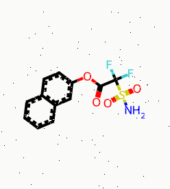 NS(=O)(=O)C(F)(F)C(=O)Oc1ccc2ccccc2c1